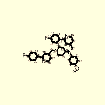 COc1ccc(N(Cc2ccnc(-c3ccc(F)cc3)c2)C2CCN(Cc3ccnc(-c4ccc(F)cc4)c3)CC2)cc1